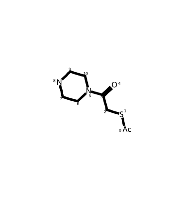 CC(=O)SCC(=O)N1CC[N]CC1